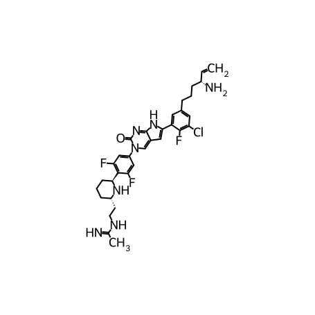 C=C[C@H](N)CCCc1cc(Cl)c(F)c(-c2cc3cn(-c4cc(F)c([C@@H]5CCC[C@@H](CCNC(C)=N)N5)c(F)c4)c(=O)nc3[nH]2)c1